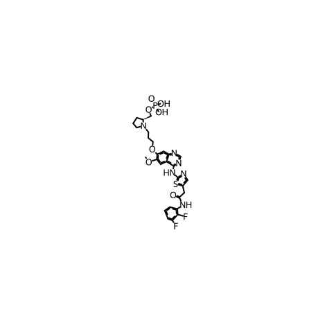 COc1cc2c(Nc3ncc(CC(=O)Nc4cccc(F)c4F)s3)ncnc2cc1OCCCN1CCC[C@H]1COP(=O)(O)O